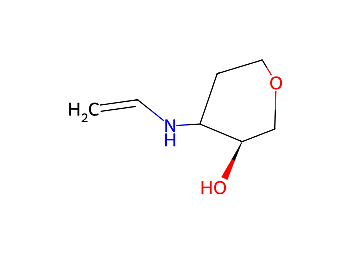 C=CNC1CCOC[C@H]1O